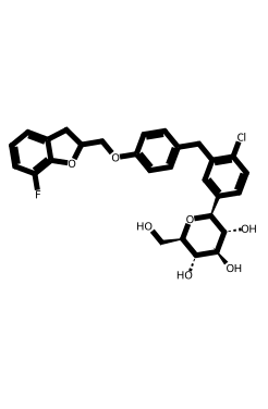 OC[C@H]1O[C@@H](c2ccc(Cl)c(Cc3ccc(OCC4Cc5cccc(F)c5O4)cc3)c2)[C@H](O)[C@@H](O)[C@@H]1O